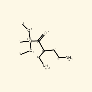 CO[Si](C)(OC)C(=O)C(CN)CCN